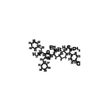 CCN(CC)C(CC1CCC(C(c2ccc(Cl)cc2)N(C)C)CC1)c1nc(Cc2ccccc2)c(C(N)Cc2ccccc2)o1